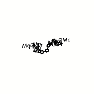 COC(=O)N[C@H](C(=O)N1CCC[C@H]1c1cc2ccc(-c3cccc(-c4ccc5nc([C@@H]6CCCN6C(=O)[C@@H](NC(=O)OC)C(C)C)[nH]c5c4)c3)cc2[nH]1)C(C)C